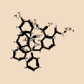 COC(=O)c1ccc(CP(OS(=O)(=O)c2ccc(C)cc2)(c2ccccc2)(c2ccccc2)c2ccccc2)cc1C(=O)OC